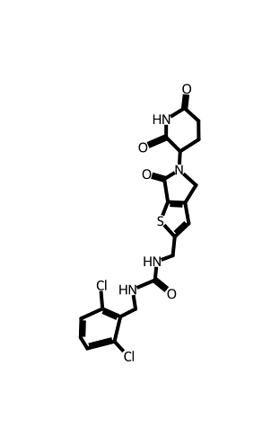 O=C1CCC(N2Cc3cc(CNC(=O)NCc4c(Cl)cccc4Cl)sc3C2=O)C(=O)N1